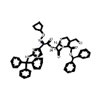 O=C(OC(c1ccccc1)c1ccccc1)C1=C(CCl)CS[C@@H]2[C@H](NC(=O)/C(=N\OC3CCCC3)c3csc(NC(c4ccccc4)(c4ccccc4)c4ccccc4)n3)C(=O)N12